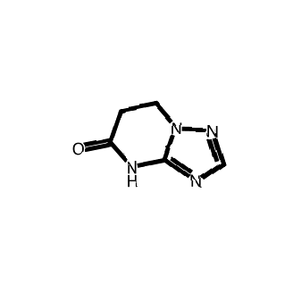 O=C1CCn2ncnc2N1